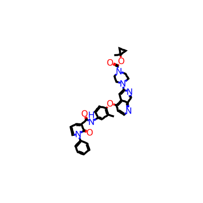 Cc1cc(NC(=O)c2cccn(-c3ccccc3)c2=O)ccc1Oc1ccnc2cnc(N3CCN(C(=O)OC4(C)CC4)CC3)cc12